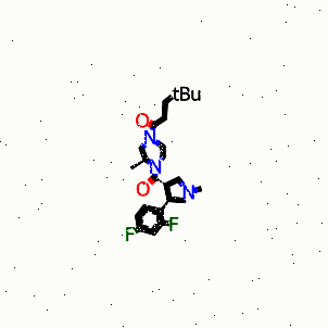 C[C@H]1CN(C(=O)CCC(C)(C)C)CCN1C(=O)[C@@H]1CN(C)C[C@H]1c1ccc(F)cc1F